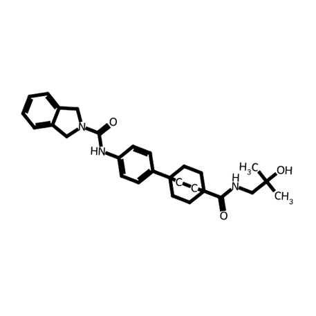 CC(C)(O)CNC(=O)C12CCC(c3ccc(NC(=O)N4Cc5ccccc5C4)cc3)(CC1)CC2